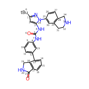 CC(C)(C)c1cc(NC(=O)Nc2cccc(-c3cccc4c3CNC4=O)c2)n(-c2ccc3c(c2)CCNC3)n1